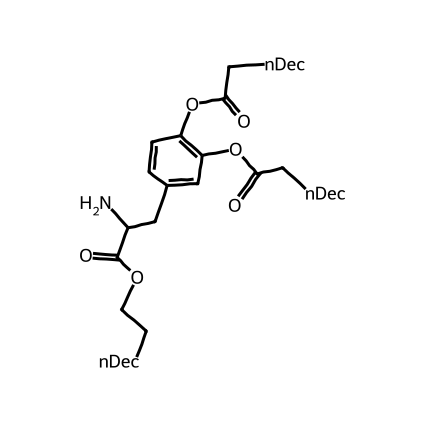 CCCCCCCCCCCCOC(=O)C(N)Cc1ccc(OC(=O)CCCCCCCCCCC)c(OC(=O)CCCCCCCCCCC)c1